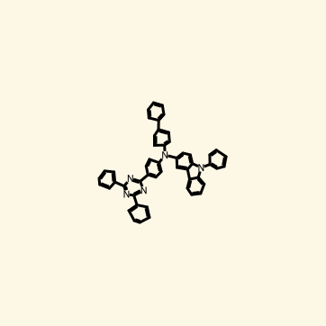 c1ccc(-c2ccc(N(c3ccc(-c4nc(-c5ccccc5)nc(-c5ccccc5)n4)cc3)c3ccc4c(c3)c3ccccc3n4-c3ccccc3)cc2)cc1